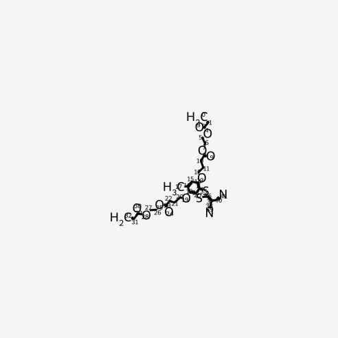 C=CC(=O)OCCOC(=O)CCCOc1cc(C)c(OCCCC(=O)OCCOC(=O)C=C)c2c1SC(=C(C#N)C#N)S2